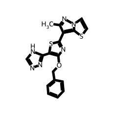 Cc1nn2ccsc2c1-c1nc(OCc2ccccc2)c(-c2nnc[nH]2)s1